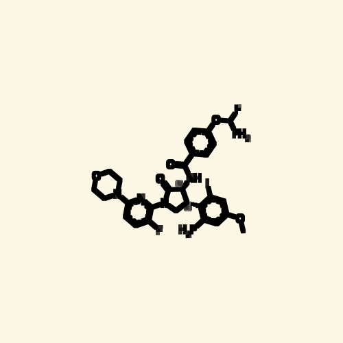 COc1cc(P)c([C@@H]2CN(c3nc(N4CCOCC4)ccc3F)C(=O)[C@H]2NC(=O)c2ccc(OC(F)P)cc2)c(I)c1